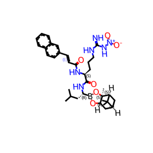 CC(C)C[C@H](NC(=O)[C@H](CCCNC(=N)N[N+](=O)[O-])NC(=O)/C=C/c1ccc2ccccc2c1)B1O[C@@H]2C[C@@H]3C[C@@H](C3(C)C)[C@]2(C)O1